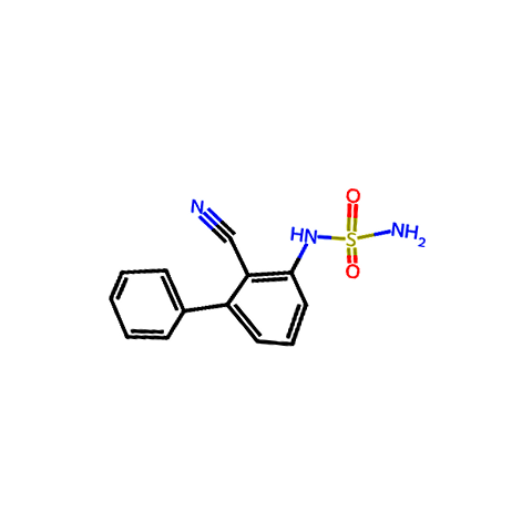 N#Cc1c(NS(N)(=O)=O)cccc1-c1ccccc1